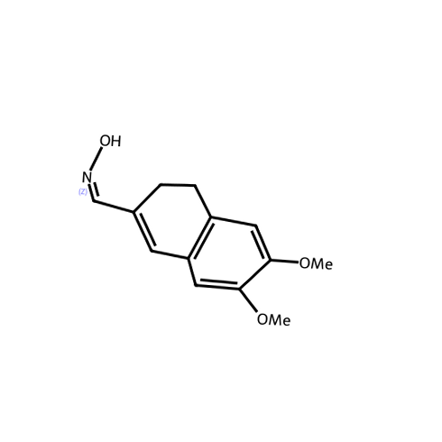 COc1cc2c(cc1OC)CCC(/C=N\O)=C2